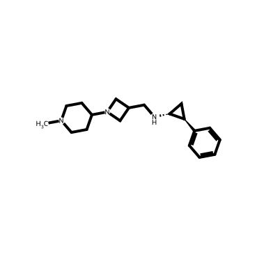 CN1CCC(N2CC(CN[C@@H]3C[C@H]3c3ccccc3)C2)CC1